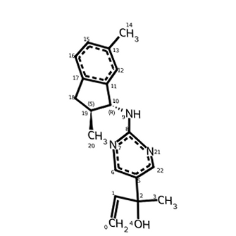 C=CC(C)(O)c1cnc(N[C@H]2c3cc(C)ccc3C[C@@H]2C)nc1